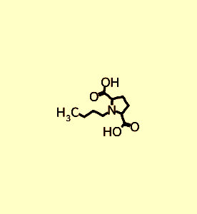 CCCCN1C(C(=O)O)CCC1C(=O)O